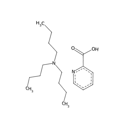 CCCCN(CCCC)CCCC.O=C(O)c1ccccn1